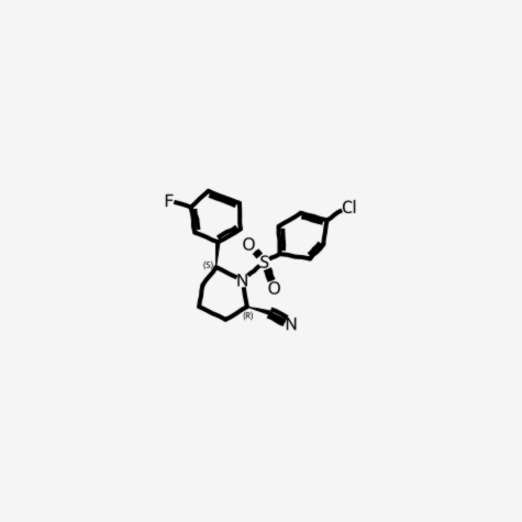 N#C[C@H]1CCC[C@@H](c2cccc(F)c2)N1S(=O)(=O)c1ccc(Cl)cc1